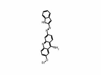 CCOc1ccc2nc3cc(/N=N/c4cc5ccccc5[nH]4)ccc3c(N)c2c1